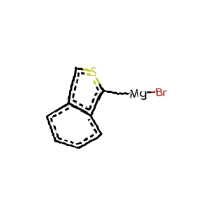 [Br][Mg][c]1scc2ccccc12